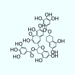 O=C(O[C@@H]1Cc2c(O)cc(O)cc2OC1c1cc(O)c(=O)c2c(O)c(O)cc([C@H]3Cc4cc(O)cc(O)c4C[C@H]3OC(=O)c3cc(O)c(O)c(O)c3)c2c1)c1cc(O)c(O)c(O)c1